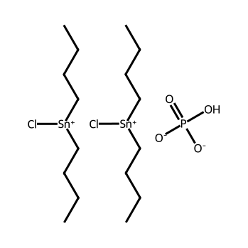 CCC[CH2][Sn+]([Cl])[CH2]CCC.CCC[CH2][Sn+]([Cl])[CH2]CCC.O=P([O-])([O-])O